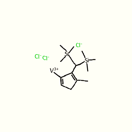 CC1=C(C([Si](C)(C)C)[Si](C)(C)C)[C]([V+3])=CC1.[Cl-].[Cl-].[Cl-]